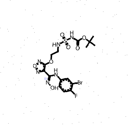 CC(C)(C)OC(=O)NS(=O)(=O)NCCOc1nonc1/C(=N/O)Nc1ccc(F)c(Br)c1